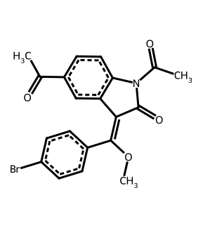 CO/C(=C1\C(=O)N(C(C)=O)c2ccc(C(C)=O)cc21)c1ccc(Br)cc1